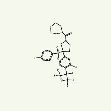 O=C(C1CCSCC1)N1CC[C@](c2ccc(C(F)(C(F)(F)F)C(F)(F)F)c(F)c2)(S(=O)(=O)c2ccc(F)cc2)C1